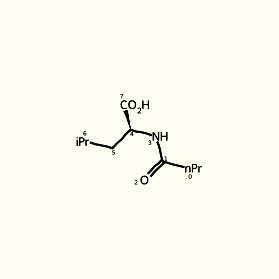 CCCC(=O)N[C@@H](CC(C)C)C(=O)O